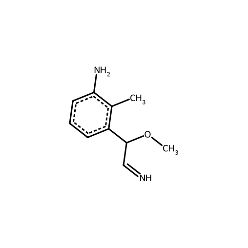 COC(C=N)c1cccc(N)c1C